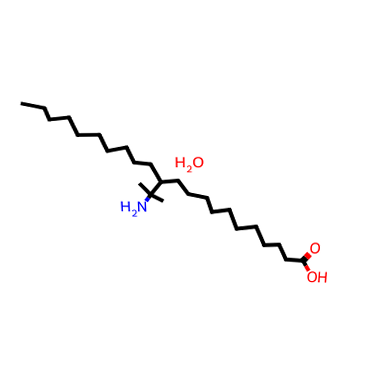 CCCCCCCCCCC(CCCCCCCCCCC(=O)O)C(C)(C)N.O